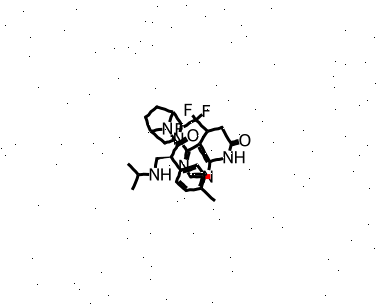 Cc1ccc([C@@H](CNC(C)C)C(=O)N2C3CCC2CN(c2ncnc4c2C(C(F)(F)F)CC(=O)N4)C3)cc1